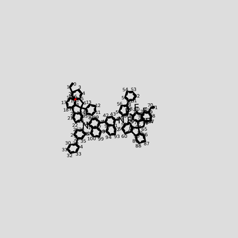 C=Cc1ccc(CC2(c3ccccc3)c3ccccc3-c3ccc(N(c4ccc(-c5ccccc5)cc4)c4ccc(-c5ccc(N(c6ccc(-c7ccccc7)cc6)c6ccc7c(c6)C(Cc6ccc(C=C)cc6)(c6c(F)c(F)c(F)c(F)c6F)c6ccccc6-7)c6ccccc56)c5ccccc45)cc32)cc1